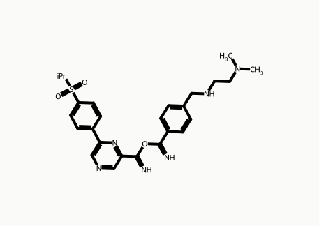 CC(C)S(=O)(=O)c1ccc(-c2cncc(C(=N)OC(=N)c3ccc(CNCCN(C)C)cc3)n2)cc1